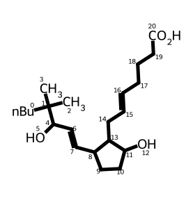 CCCCC(C)(C)C(O)C=CC1CCC(O)C1CC=CCCCC(=O)O